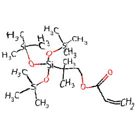 C=CC(=O)OCC(C)(C)[Si](O[Si](C)(C)C)(O[Si](C)(C)C)O[Si](C)(C)C